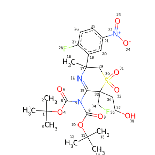 CC(C)(C)OC(=O)N(C(=O)OC(C)(C)C)C1=NC(C)(c2cc([N+](=O)[O-])ccc2F)CS(=O)(=O)C1(CF)CCO